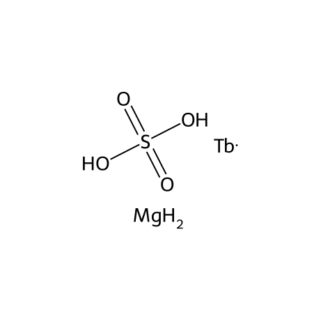 O=S(=O)(O)O.[MgH2].[Tb]